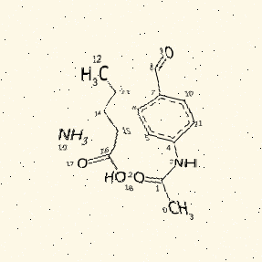 CC(=O)Nc1ccc(C=O)cc1.CCCCC(=O)O.N